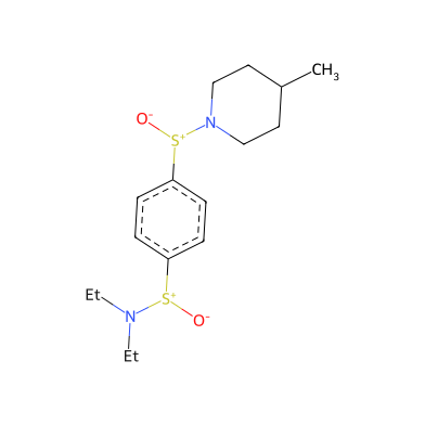 CCN(CC)[S+]([O-])c1ccc([S+]([O-])N2CCC(C)CC2)cc1